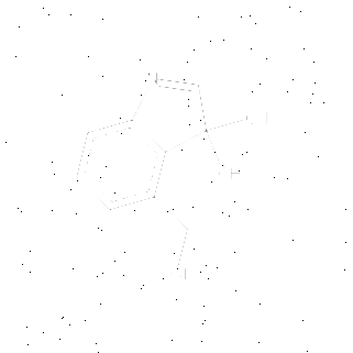 CC1(C)C=Nc2cccc(CO)c21